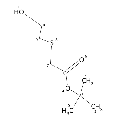 CC(C)(C)OC(=O)CSCCO